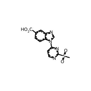 CS(=O)(=O)c1nccc(-n2cnc3cc(C(=O)O)ccc32)n1